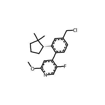 COc1cc(-c2ccc(CCl)cc2[C@@H]2CCCC2(C)C)c(F)cn1